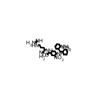 C=c1cccc/c1=C(\Nc1ccc(C(=O)NC(CCCNC(=N)N)C(N)=O)cc1[N+](=O)[O-])c1ccccc1N